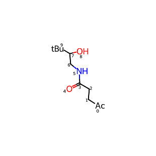 CC(=O)CCC(=O)NCC(O)C(C)(C)C